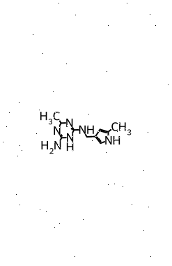 Cc1cc(CNC2=NC(C)N=C(N)N2)c[nH]1